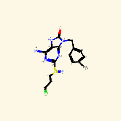 Cc1ccc(Cn2c(=O)[nH]c3c(N)nc(S(=N)CCCCl)nc32)cc1